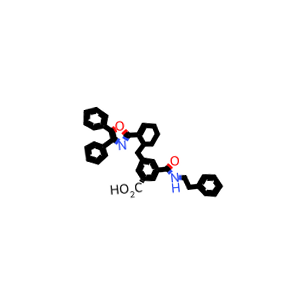 O=C(O)c1cc(CC2CCCC=C2c2nc(-c3ccccc3)c(-c3ccccc3)o2)cc(C(=O)NCCc2ccccc2)c1